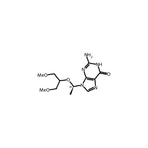 COCC(COC)O[C@H](C)n1cnc2c(=O)[nH]c(N)nc21